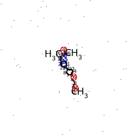 COCCCOc1ccc(-c2ccc(CC(C)NC(C)=O)cc2)cc1